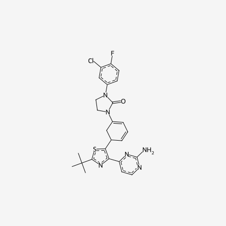 CC(C)(C)c1nc(-c2ccnc(N)n2)c(C2C=CC=C(N3CCN(c4ccc(F)c(Cl)c4)C3=O)C2)s1